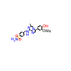 COc1cc(-c2cnc3c(NCc4ccc(S(N)(=O)=O)cc4)nc(C)cn23)ccc1O